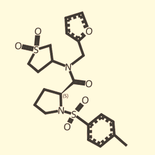 Cc1ccc(S(=O)(=O)N2CCC[C@H]2C(=O)N(Cc2ccco2)C2CCS(=O)(=O)C2)cc1